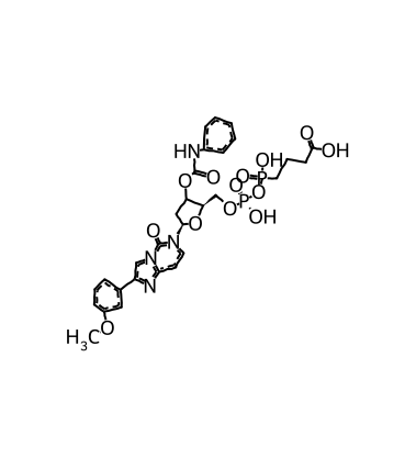 COc1cccc(-c2cn3c(=O)n([C@H]4CC(OC(=O)Nc5ccccc5)[C@@H](COP(=O)(O)OP(=O)(O)CCCC(=O)O)O4)ccc3n2)c1